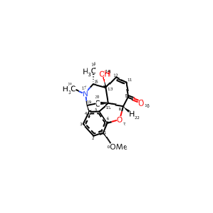 COc1ccc2c3c1O[C@H]1C(=O)C=CC4(O)[C@@H](C)N(C)C2C[C@]314